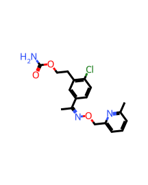 CC(=NOCc1cccc(C)n1)c1ccc(Cl)c(CCOC(N)=O)c1